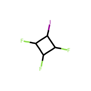 FC1C(F)C(I)C1F